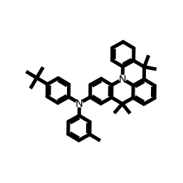 Cc1cccc(N(c2ccc(C(C)(C)C)cc2)c2ccc3c(c2)C(C)(C)c2cccc4c2N3C2=C(CCC=C2)C4(C)C)c1